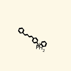 PN(c1ccccc1)c1ccc(/C=C/C=C/c2ccccc2)cc1